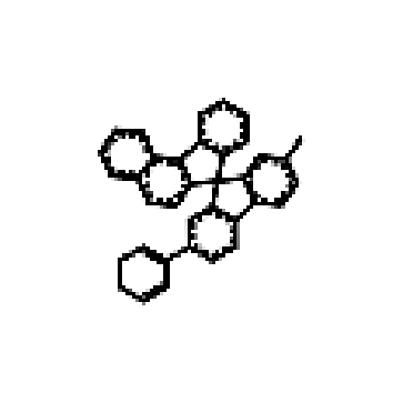 Cc1ccc2c(c1)C1(c3cc(C4=CCCC=C4)ccc3-2)c2ccccc2-c2c1ccc1ccccc21